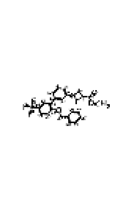 COC(=O)C1CN(c2cccc(-c3cc(C(F)(F)F)ccc3OCc3ccccc3)c2)C1